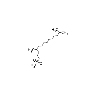 CC(C)CCCCCCCCC(C)CCCS(C)(=O)=O